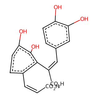 O=C(O)/C=C\c1ccc(O)c(O)c1/C(=C\c1ccc(O)c(O)c1)C(=O)O